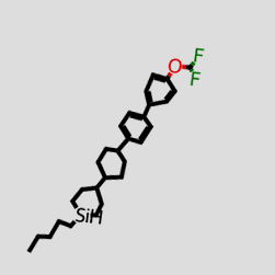 CCCCC[SiH]1CCC(C2CCC(c3ccc(-c4ccc(OC(F)F)cc4)cc3)CC2)CC1